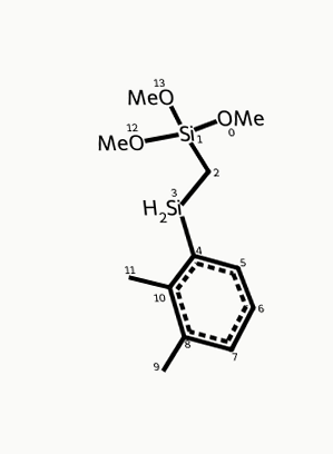 CO[Si](C[SiH2]c1cccc(C)c1C)(OC)OC